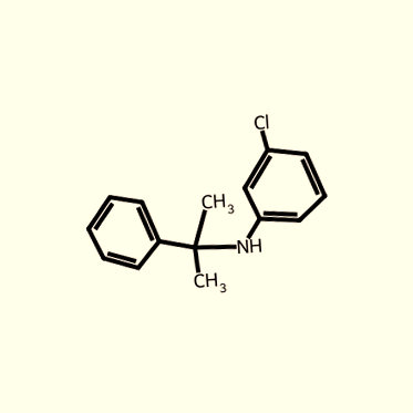 CC(C)(Nc1cccc(Cl)c1)c1ccccc1